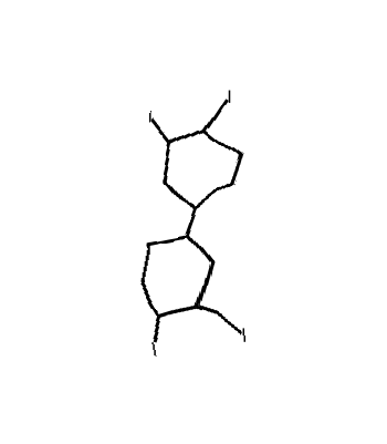 IC1CCC(C2CCC(I)C(I)C2)CC1I